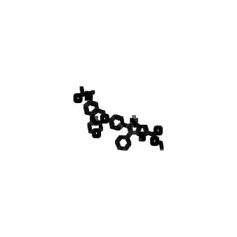 CCOC(=O)c1cc2c(s1)c(C1CCCCC1)c(-c1ccc(OCc3cc(N(C)C(C)=O)ccc3N3CCOCC3)cc1)n2C